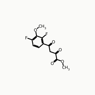 COC(=O)C(=O)CC(=O)c1ccc(F)c(OC)c1F